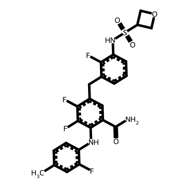 Cc1ccc(Nc2c(C(N)=O)cc(Cc3cccc(NS(=O)(=O)C4COC4)c3F)c(F)c2F)c(F)c1